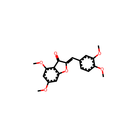 COc1cc(OC)c2c(c1)O/C(=C\c1ccc(OC)c(OC)c1)C2=O